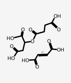 O=C(O)/C=C/C(=O)O.O=C(O)CCC(=O)OC(CC(=O)O)C(=O)O